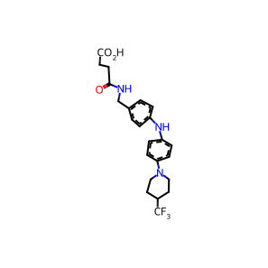 O=C(O)CCC(=O)NCc1ccc(Nc2ccc(N3CCC(C(F)(F)F)CC3)cc2)cc1